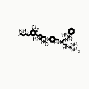 C[C@H](N)CCCc1cc(Cl)c(F)c(-c2cc3cn(-c4ccc(CN[C@H](CCNC(=N)N)CNc5nc6ccccc6[nH]5)cc4)c(=O)nc3[nH]2)c1